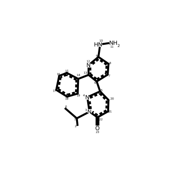 CC(C)n1nc(-c2ccc(NN)nc2-c2ccccc2)ccc1=O